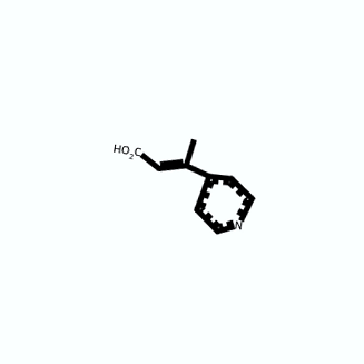 CC(=CC(=O)O)c1ccncc1